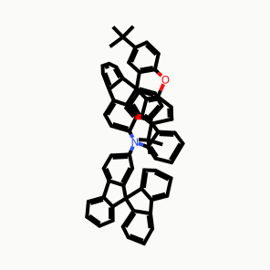 CC(C)(C)c1ccc2c(c1)C1(c3cc(C(C)(C)C)ccc3O2)c2ccccc2-c2ccc(N(c3ccc4c(c3)C3(c5ccccc5-c5ccccc53)c3ccccc3-4)c3ccccc3-c3ccccc3)cc21